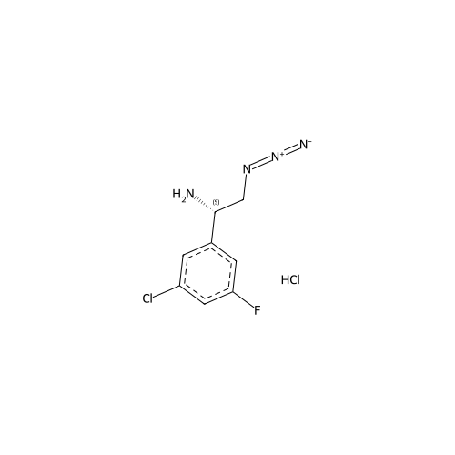 Cl.[N-]=[N+]=NC[C@@H](N)c1cc(F)cc(Cl)c1